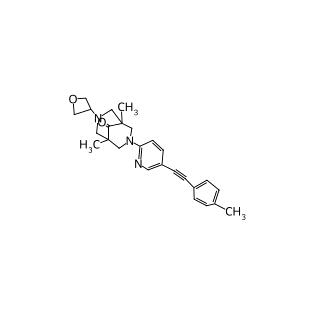 Cc1ccc(C#Cc2ccc(N3CC4(C)CN(C5COC5)CC(C)(C3)C4=O)nc2)cc1